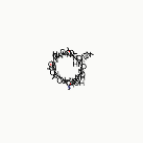 C/C=C/C[C@@H](C)[C@@H](O)[C@H]1C(=O)N[C@@H](CC)C(=O)N(C)[C@H](C)C(=O)N(C)C([C@@H](C)CN2CCN(CC)CC2)C(=O)N[C@@H](C(C)C)C(=O)N(C)[C@@H](CC(C)C)C(=O)N[C@@H](C)C(=O)N[C@H](C)C(=O)N(C)[C@@H](CC(C)C)C(=O)N(C)[C@@H](CC(C)C)C(=O)N(C)[C@@H](C(C)C)C(=O)N1C